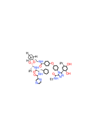 CCNC(=O)c1nnc(-c2cc(C(C)C)c(O)cc2O)n1-c1ccc(Oc2ccc(C(=O)NCC[C@]34OB([C@@H](CC(C)C)NC(=O)[C@H](Cc5ccccc5)NC(=O)c5cnccn5)O[C@H]3C[C@@H]3C[C@H]4C3(C)C)cc2)cc1